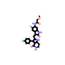 COCC(=O)Nc1cc2c(cc1F)C(=Cc1[nH]c3c(c1-c1ccc(F)cc1)C(=O)NCC3)C(=O)N2